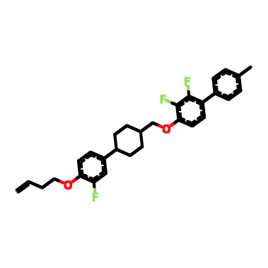 C=CCCOc1ccc(C2CCC(COc3ccc(-c4ccc(C)cc4)c(F)c3F)CC2)cc1F